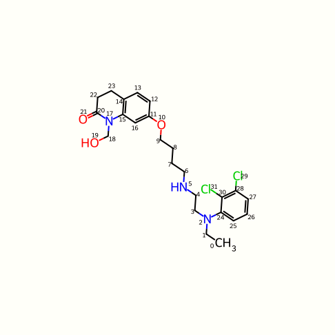 CCN(CCNCCCCOc1ccc2c(c1)N(CO)C(=O)CC2)c1cccc(Cl)c1Cl